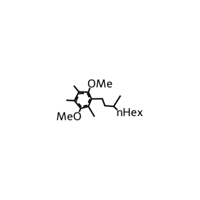 CCCCCCC(C)CCc1c(C)c(OC)c(C)c(C)c1OC